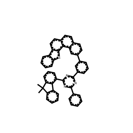 CC1(C)c2ccccc2-c2c(-c3nc(-c4ccccc4)nc(-c4cccc(-c5ccc6ccc7ccc8c9ccccc9sc8c7c6c5)c4)n3)cccc21